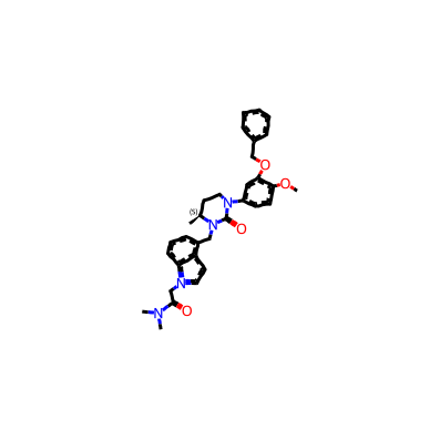 COc1ccc(N2CC[C@H](C)N(Cc3cccc4c3ccn4CC(=O)N(C)C)C2=O)cc1OCc1ccccc1